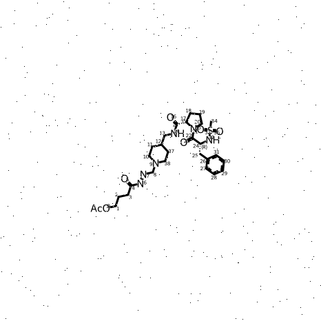 CC(=O)OCCCC(=O)N=NCN1CCC(CNC(=O)[C@@H]2CCCN2C(=O)[C@@H](Cc2ccccc2)NS(C)(=O)=O)CC1